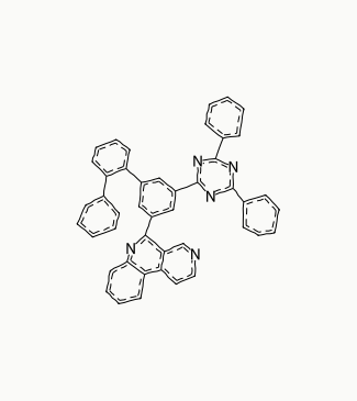 c1ccc(-c2nc(-c3ccccc3)nc(-c3cc(-c4ccccc4-c4ccccc4)cc(-c4nc5ccccc5c5ccncc45)c3)n2)cc1